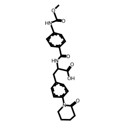 COC(=O)Nc1ccc(C(=O)NC(Cc2ccc(N3CCCCC3=O)cc2)C(=O)O)cc1